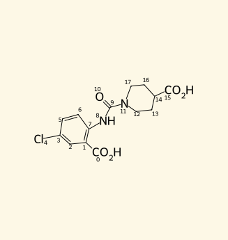 O=C(O)c1cc(Cl)ccc1NC(=O)N1CCC(C(=O)O)CC1